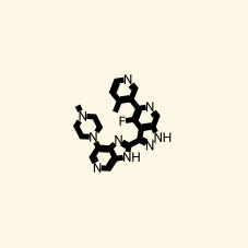 Cc1ccncc1-c1ncc2[nH]nc(-c3nc4c(N5CCN(C)CC5)cncc4[nH]3)c2c1F